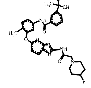 Cc1ccc(NC(=O)c2cccc(C(C)(C)C#N)c2)cc1Oc1ccc2nc(NC(=O)CN3CCC(F)CC3)sc2n1